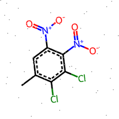 Cc1cc([N+](=O)[O-])c([N+](=O)[O-])c(Cl)c1Cl